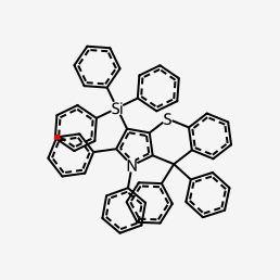 c1ccc(-c2c([Si](c3ccccc3)(c3ccccc3)c3ccccc3)c3c(n2-c2ccccc2)C(c2ccccc2)(c2ccccc2)c2ccccc2S3)cc1